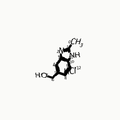 Cc1nc2cc(CO)ccc2[nH]1.Cl